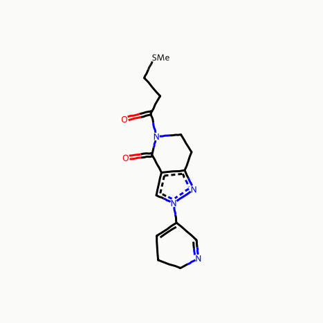 CSCCC(=O)N1CCc2nn(C3=CCCN=C3)cc2C1=O